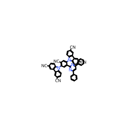 N#Cc1ccc2c(c1)c1cc(C#N)ccc1n2-c1cc(-c2nc(-c3ccccc3)cc(-c3ccccc3)n2)c(-n2c3ccc(C#N)cc3c3cc(C#N)ccc32)cc1C#N